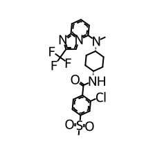 CN(c1cccc2nc(C(F)(F)F)cn12)[C@H]1CC[C@@H](NC(=O)c2ccc(S(C)(=O)=O)cc2Cl)CC1